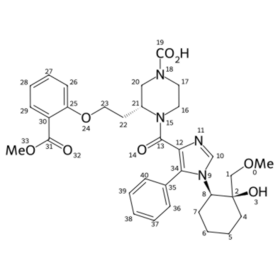 COC[C@]1(O)CCCC[C@H]1n1cnc(C(=O)N2CCN(C(=O)O)C[C@H]2CCOc2ccccc2C(=O)OC)c1-c1ccccc1